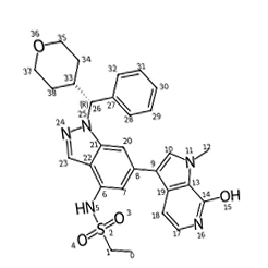 CCS(=O)(=O)Nc1cc(-c2cn(C)c3c(O)nccc23)cc2c1cnn2[C@@H](c1ccccc1)C1CCOCC1